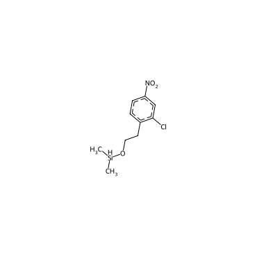 C[SiH](C)OCCc1ccc([N+](=O)[O-])cc1Cl